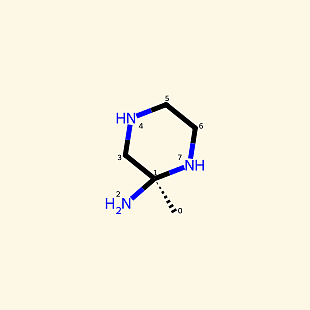 C[C@]1(N)CNCCN1